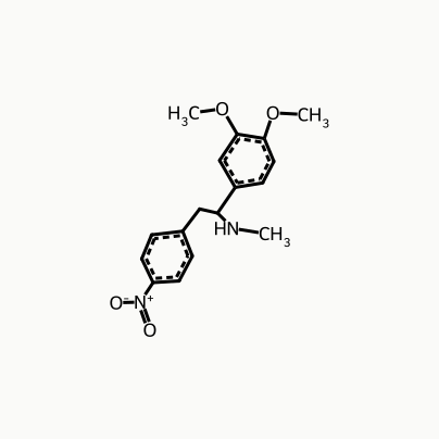 CNC(Cc1ccc([N+](=O)[O-])cc1)c1ccc(OC)c(OC)c1